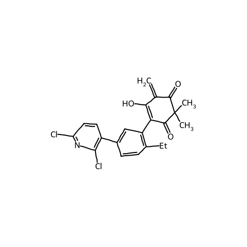 C=C1C(=O)C(C)(C)C(=O)C(c2cc(-c3ccc(Cl)nc3Cl)ccc2CC)=C1O